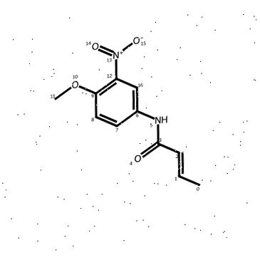 CC=CC(=O)Nc1ccc(OC)c([N+](=O)[O-])c1